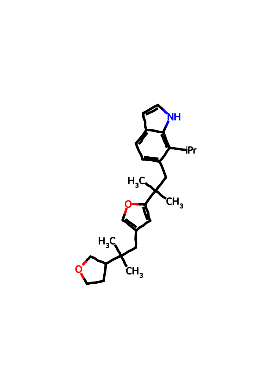 CC(C)c1c(CC(C)(C)c2cc(CC(C)(C)C3CCOC3)co2)ccc2cc[nH]c12